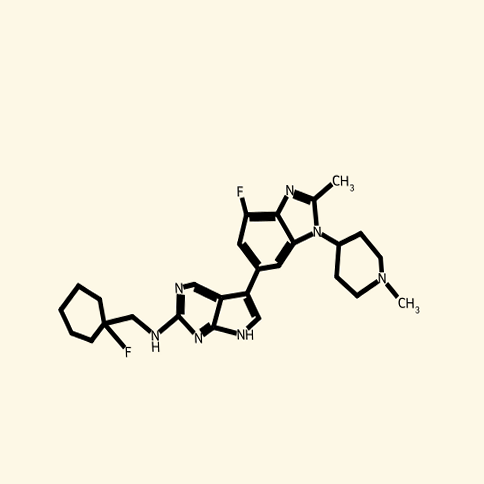 Cc1nc2c(F)cc(-c3c[nH]c4nc(NCC5(F)CCCCC5)ncc34)cc2n1C1CCN(C)CC1